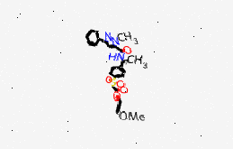 COCCOC(=O)CS(=O)(=O)c1ccc([C@@H](C)NC(=O)c2cc(-c3ccccc3)nn2C)cc1